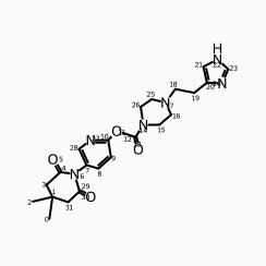 CC1(C)CC(=O)N(c2ccc(OC(=O)N3CCN(CCc4c[nH]cn4)CC3)nc2)C(=O)C1